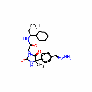 CC1(c2ccc(C=NN)cc2)NC(=O)N(CC(=O)NC(CC(=O)O)C2CCCCC2)C1=O